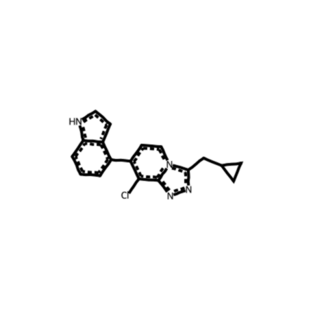 Clc1c(-c2cccc3[nH]ccc23)ccn2c(CC3CC3)nnc12